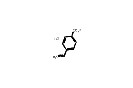 C=Cc1ccc(C(=O)O)cc1.Cl